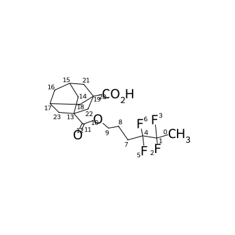 CC(F)(F)C(F)(F)CCCOC(=O)C12CC3CC(CC(C(=O)O)(C3)C1)C2